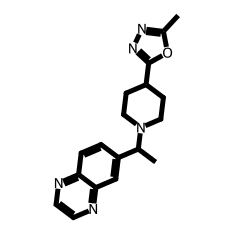 Cc1nnc(C2CCN(C(C)c3ccc4nccnc4c3)CC2)o1